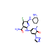 Cn1cc(Nc2nc(N[C@H]3CCCC[C@H]3N)c(F)cc2C(N)=O)cc(-n2ccnn2)c1=O